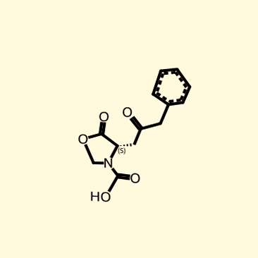 O=C(Cc1ccccc1)C[C@H]1C(=O)OCN1C(=O)O